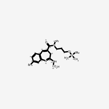 CCCN(CCCO[Si](C)(C)C(C)(C)C)C(=O)C1=Cc2ccc(Br)cc2N=C(NC(=O)O)C1